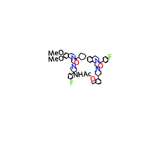 COc1cc2c(cc1OC)C(CCN1CCC(NC(C)=O)(c3cccc(F)c3)CC1)N(C(=O)C1CCCCCC1)CC2.O=C(c1ccc(F)cc1)N1CCc2ccccc2C1CCN1CCC(c2cccc3c2OCC3)CC1